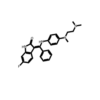 CN(C)CCN(C)c1ccc(N/C(=C2\C(=O)Nc3cc(F)ccc32)c2ccccc2)cc1